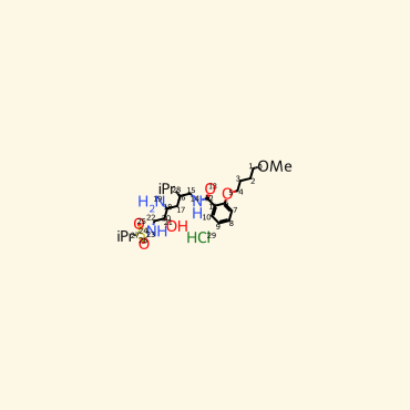 COCCCCOc1ccccc1C(=O)NCC(CC(N)C(O)CNS(=O)(=O)C(C)C)C(C)C.Cl